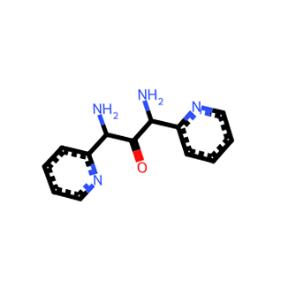 NC(C(=O)C(N)c1ccccn1)c1ccccn1